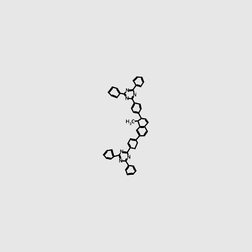 CC1c2cc(C3=CC=C(c4nc(-c5ccccc5)nc(-c5ccccc5)n4)CC3)ccc2C=CC1c1ccc(-c2nc(-c3ccccc3)nc(-c3ccccc3)n2)cc1